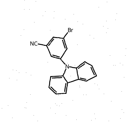 N#Cc1cc(Br)cc(-n2c3ccccc3c3ccccc32)c1